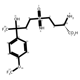 N=S(=O)(CC[C@H](N)C(=O)O)CCC(O)(c1ccc(OC(F)(F)F)cc1)C(F)(F)F